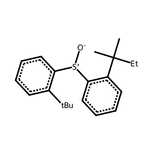 CCC(C)(C)c1ccccc1[S+]([O-])c1ccccc1C(C)(C)C